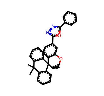 CC1(C)c2ccccc2C2(c3ccccc3Oc3cc(-c4nnc(-c5ccccc5)o4)ccc32)c2ccccc21